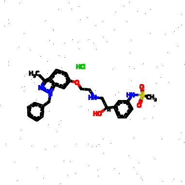 Cc1nn(Cc2ccccc2)c2cc(OCCNC[C@H](O)c3cccc(NS(C)(=O)=O)c3)ccc12.Cl